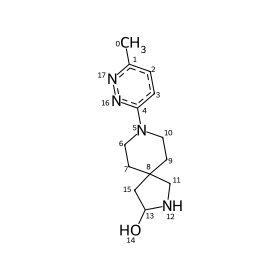 Cc1ccc(N2CCC3(CC2)CNC(O)C3)nn1